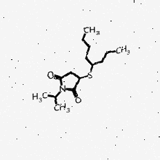 CCCCC(CCC)SC1CC(=O)N(C(C)C)C1=O